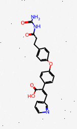 NC(=O)NC(=O)CCc1ccc(Oc2ccc(/C(=C/c3cccnc3)C(=O)O)cc2)cc1